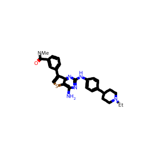 CCN1CCC(c2ccc(Nc3nc(N)c4scc(-c5cccc(C(=O)NC)c5)c4n3)cc2)CC1